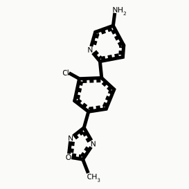 Cc1nc(-c2ccc(-c3ccc(N)cn3)c(Cl)c2)no1